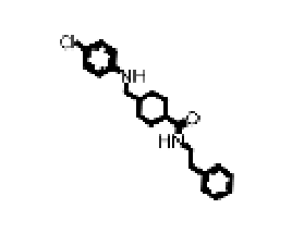 O=C(NCCc1ccccc1)C1CCC(CNc2ccc(Cl)cc2)CC1